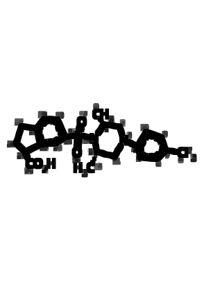 C[C@@H]1CN(c2ccc(C(F)(F)F)cc2)C[C@H](C)N1S(=O)(=O)c1ccc2c(c1)C(C(=O)O)CC2